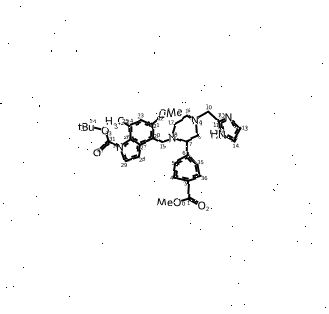 COC(=O)c1ccc(C2CN(Cc3ncc[nH]3)CCN2Cc2c(OC)cc(C)c3c2ccn3C(=O)OC(C)(C)C)cc1